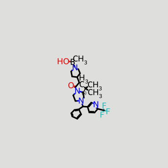 CB(O)N1CCC(CC(=O)N2CCN(C(c3ccccc3)c3ccc(C(F)(F)F)nc3)C[C@@H]2C(C)(C)C)CC1